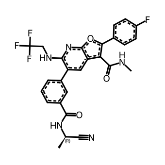 CNC(=O)c1c(-c2ccc(F)cc2)oc2nc(NCC(F)(F)F)c(-c3cccc(C(=O)N[C@H](C)C#N)c3)cc12